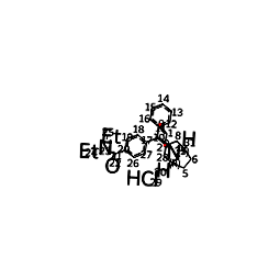 C=CCN1[C@@H]2CC[C@H]1CC(=C(c1ccccc1)c1ccc(C(=O)N(CC)CC)cc1)C2.Cl